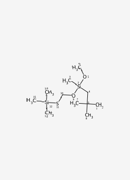 CO[Si](C)(CC(C)(C)C)OCS[Si](C)(C)C